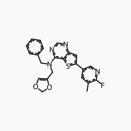 Cc1cc(-c2cc3ncnc(N(CC4=COCO4)Cc4ccccc4)c3s2)cnc1F